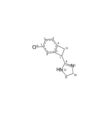 Clc1ccc2c(c1)C(C1=NCCN1)C2